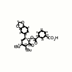 CC(C)(C)C(C=Cc1ccc2c(c1)OCO2)=C(C(=O)OOC(=O)c1cccc(C(=O)O)c1)C(C)(C)C